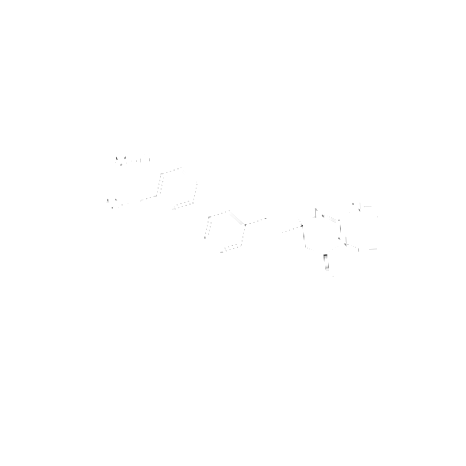 COc1ccc(-c2cccc(CCC3(C)CC(=O)N(C)C(N)=N3)c2)cc1OC